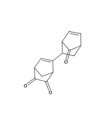 O=C1C(=O)C2CC1C=C2C1CC2C=CC1C2=O